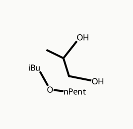 CC(O)CO.CCCCCOC(C)CC